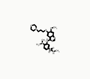 CNS(=O)(=O)c1ccc(N(C)C)c(Nc2ncnc3cc(OC)c(OCCCN4CCOCC4)cc23)c1